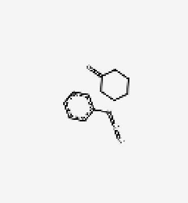 O=C1CCCCC1.[N-]=[N+]=Nc1ccccc1